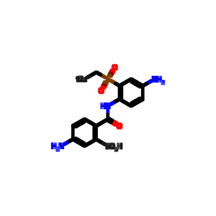 CC(C)(C)CS(=O)(=O)c1cc(N)ccc1NC(=O)c1ccc(N)cc1S(=O)(=O)O